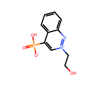 O=P([O-])(O)c1c[n+](CCO)nc2ccccc12